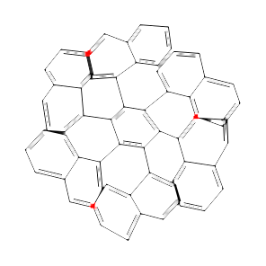 c1ccc2c(-c3c(-c4cccc5ccccc45)c(-c4cccc5ccccc45)c(-c4cccc5ccccc45)c(-c4cccc5ccccc45)c3-c3cccc4ccccc34)cccc2c1